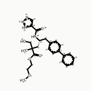 COCCOC(=O)C(C)(CO)C[C@@H](Cc1ccc(-c2ccccc2)cc1)NC(=O)c1cnn[nH]1